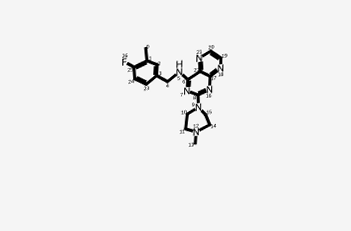 Cc1cc(CNc2nc(N3CCN(C)CC3)nc3nccnc23)ccc1F